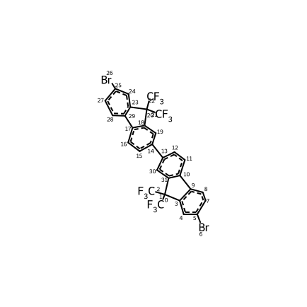 FC(F)(F)C1(C(F)(F)F)c2cc(Br)ccc2-c2ccc(-c3ccc4c(c3)C(C(F)(F)F)(C(F)(F)F)c3cc(Br)ccc3-4)cc21